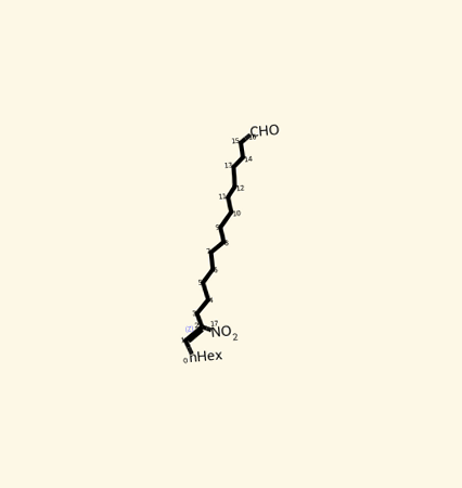 CCCCCC/C=C(/CCCCCCCCCCCCCC=O)[N+](=O)[O-]